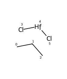 CCC.[Cl][Hf][Cl]